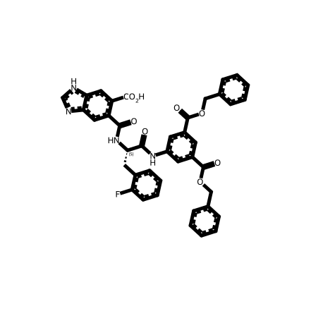 O=C(OCc1ccccc1)c1cc(NC(=O)[C@H](Cc2ccccc2F)NC(=O)c2cc3nc[nH]c3cc2C(=O)O)cc(C(=O)OCc2ccccc2)c1